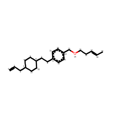 C=CCC1CCC(CCc2ccc(COCCC=CC)cc2)CC1